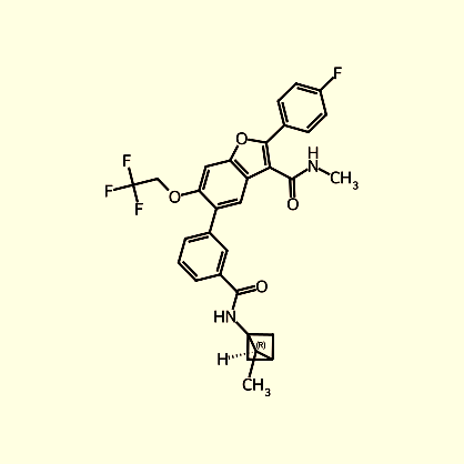 CNC(=O)c1c(-c2ccc(F)cc2)oc2cc(OCC(F)(F)F)c(-c3cccc(C(=O)NC45CC(C4)[C@H]5C)c3)cc12